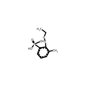 CCOCc1c(C)cccc1P(=O)(O)O